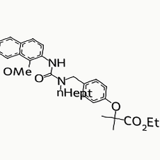 CCCCCCCN(Cc1ccc(OC(C)(C)C(=O)OCC)cc1)C(=O)Nc1ccc2ccccc2c1OC